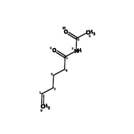 C=CCCCC(=O)NC(C)=O